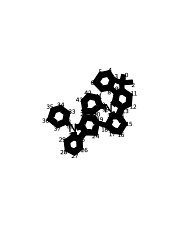 CC1(C)c2ccccc2-c2c1ccc1c3cccc(-c4ccc5c(c4)c4ccccc4n5-c4ccccc4)c3n(-c3ccccc3)c21